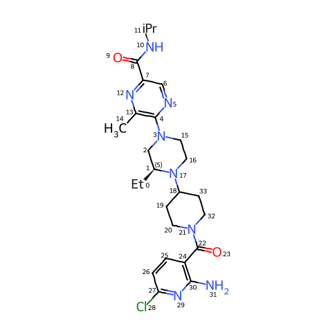 CC[C@H]1CN(c2ncc(C(=O)NC(C)C)nc2C)CCN1C1CCN(C(=O)c2ccc(Cl)nc2N)CC1